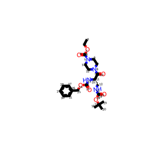 CCOC(=O)N1CCN(C(=O)[C@H](CNC(=O)OC(C)(C)C)NC(=O)OCc2ccccc2)CC1